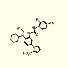 CC(C)CN(c1ccc(-n2cccc2C(=O)O)cc1NC(=O)Nc1ccc(C#N)cc1F)C1CCCCC1